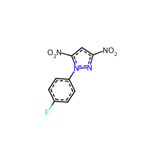 O=[N+]([O-])c1cc([N+](=O)[O-])n(-c2ccc(F)cc2)n1